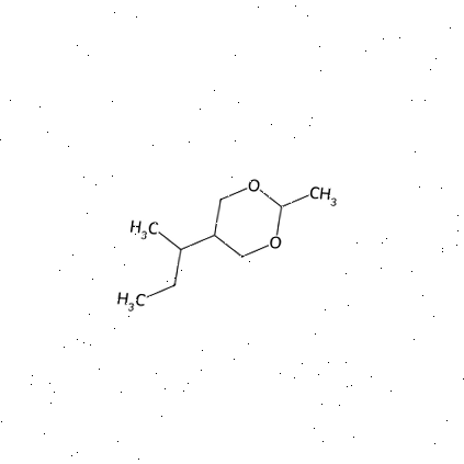 CCC(C)C1COC(C)OC1